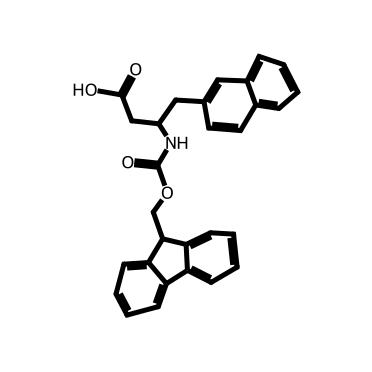 O=C(O)CC(Cc1ccc2ccccc2c1)NC(=O)OCC1c2ccccc2-c2ccccc21